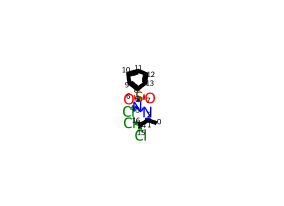 CC(=NN(Cl)S(=O)(=O)c1ccccc1)C(Cl)Cl